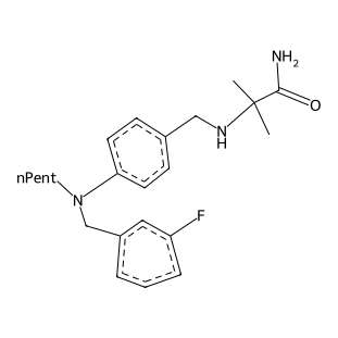 CCCCCN(Cc1cccc(F)c1)c1ccc(CNC(C)(C)C(N)=O)cc1